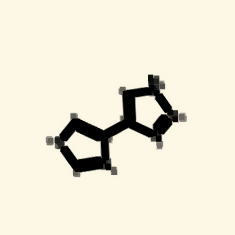 [c]1nc(-c2c[nH]nn2)cs1